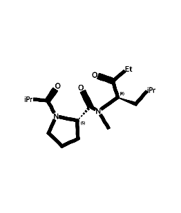 CCC(=O)[C@@H](CC(C)C)N(C)C(=O)[C@@H]1CCCN1C(=O)C(C)C